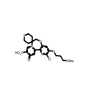 COCCCOc1cc2c(nc1Cl)-c1cc(=O)c(C(=O)O)cn1C1(CCSCC1)CO2